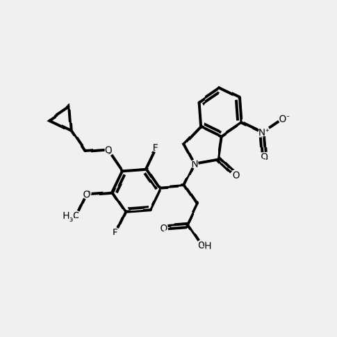 COc1c(F)cc(C(CC(=O)O)N2Cc3cccc([N+](=O)[O-])c3C2=O)c(F)c1OCC1CC1